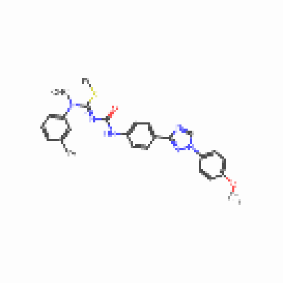 CCS/C(=N\C(=O)Nc1ccc(-c2ncn(-c3ccc(OC(F)(F)F)cc3)n2)cc1)N(C=O)c1cccc(C(C)C)c1